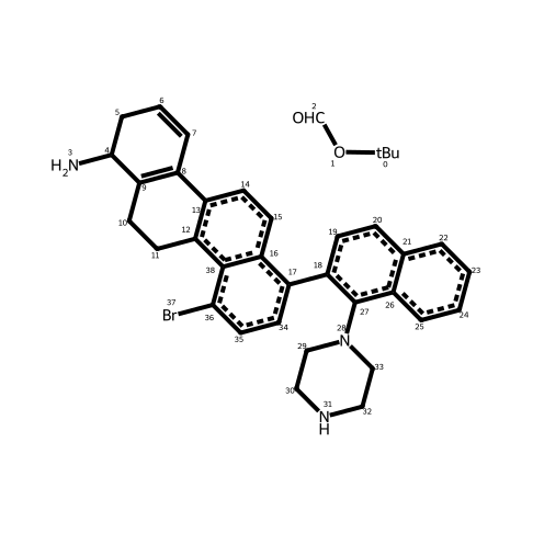 CC(C)(C)OC=O.NC1CC=CC2=C1CCc1c2ccc2c(-c3ccc4ccccc4c3N3CCNCC3)ccc(Br)c12